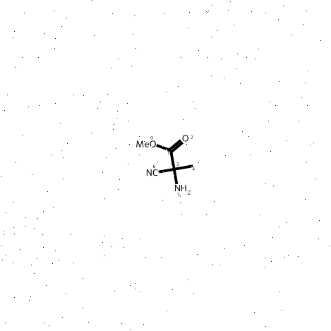 COC(=O)C(C)(N)C#N